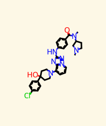 CN1CCC(N(C)C(=O)c2ccc(Nc3nc4c(N5CCC(O)(c6ccc(Cl)cc6)CC5)cccn4n3)cc2)C1